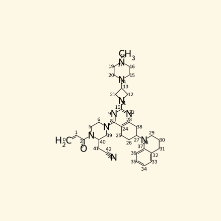 C=CC(=O)N1CCN(c2nc(N3CC(N4CCN(C)CC4)C3)nc3c2CCC(N2CCCc4ccccc42)C3)CC1CC#N